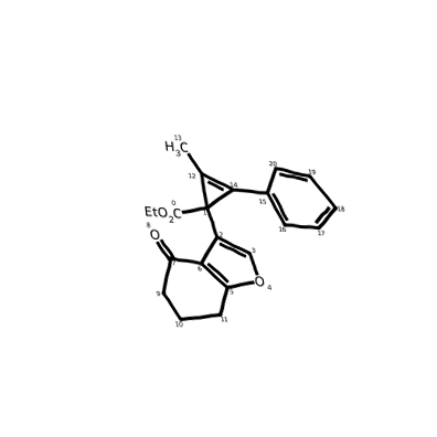 CCOC(=O)C1(c2coc3c2C(=O)CCC3)C(C)=C1c1ccccc1